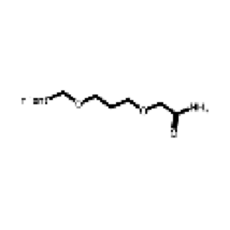 CCCCCCOCCCOCC(N)=O